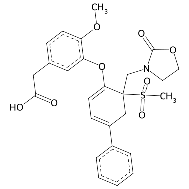 COc1ccc(CC(=O)O)cc1OC1=CC=C(c2ccccc2)CC1(CN1CCOC1=O)S(C)(=O)=O